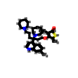 CC1=C(OCCC(CCCN2CCCCCC2)(c2ccnc3cc(C(F)(F)F)ccc23)N2CCCCCC2)C(C)SC1=O